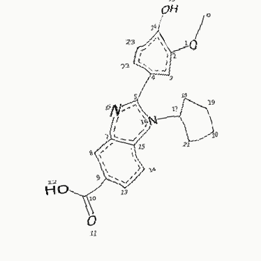 COc1cc(-c2nc3cc(C(=O)O)ccc3n2C2CCCC2)ccc1O